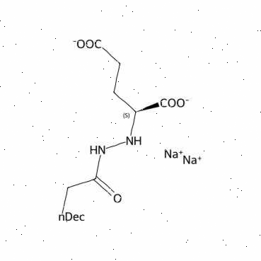 CCCCCCCCCCCC(=O)NN[C@@H](CCC(=O)[O-])C(=O)[O-].[Na+].[Na+]